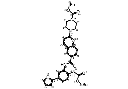 CC(C)(C)OC(=O)Nc1ccc(-c2ccco2)cc1NC(=O)c1ccc2nc(N3CCN(C(=O)OC(C)(C)C)CC3)ccc2c1